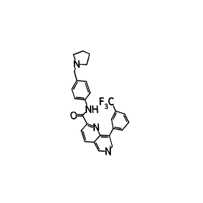 O=C(Nc1ccc(CN2CCCC2)cc1)c1ccc2cncc(-c3cccc(C(F)(F)F)c3)c2n1